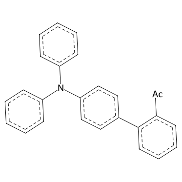 CC(=O)c1ccccc1-c1ccc(N(c2ccccc2)c2ccccc2)cc1